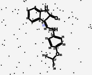 O=C1Nc2ccccc2/C1=C/Nc1ccc(OC(F)F)cc1